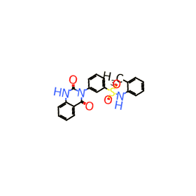 Cc1ccccc1NS(=O)(=O)c1cccc(-n2c(=O)[nH]c3ccccc3c2=O)c1